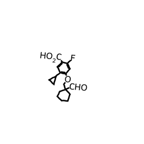 O=CC1(COc2cc(F)c(C(=O)O)cc2C2CC2)CCCCC1